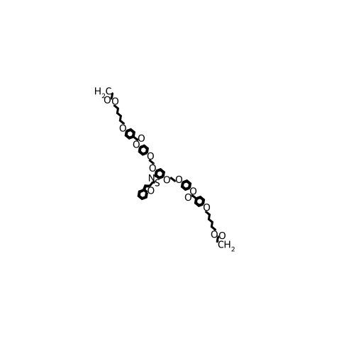 C=CC(=O)OCCCCCCOc1ccc(C(=O)Oc2ccc(OCCOc3ccc(OCCOc4ccc(OC(=O)c5ccc(OCCCCCCOC(=O)C=C)cc5)cc4)c4sc(-c5cc6ccccc6o5)nc34)cc2)cc1